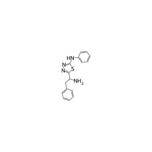 NC(Cc1ccccc1)c1nnc(Nc2ccccc2)s1